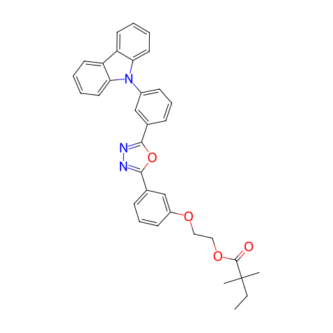 CCC(C)(C)C(=O)OCCOc1cccc(-c2nnc(-c3cccc(-n4c5ccccc5c5ccccc54)c3)o2)c1